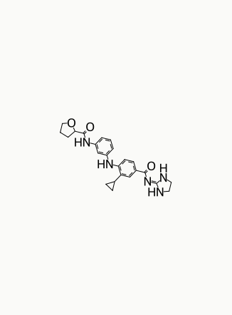 O=C(N=C1NCCN1)c1ccc(Nc2cccc(NC(=O)C3CCCO3)c2)c(C2CC2)c1